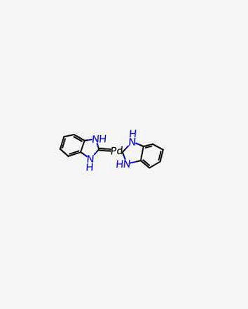 c1ccc2[nH][c](=[Pd]=[c]3[nH]c4ccccc4[nH]3)[nH]c2c1